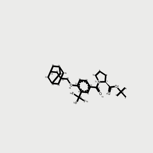 CC(C)(C)OC(=O)[C@@H]1CCCN1C(=O)c1ccc(OCC23CC4CC(CC(C4)C2)C3)c(C(F)(F)F)c1